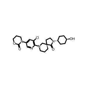 O=C1OCCCN1c1cnc(N2CCC[C@]3(CCN([C@H]4CC[C@H](O)CC4)C3=O)C2)c(Cl)c1